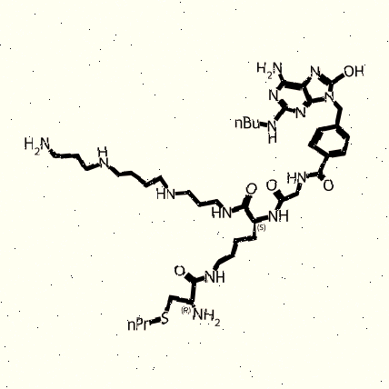 [CH2][CH]CSC[C@H](N)C(=O)NCCCC[C@H](NC(=O)CNC(=O)c1ccc(Cn2c(O)nc3c(N)nc(NCCCC)nc32)cc1)C(=O)NCCCNCCCCNCCCN